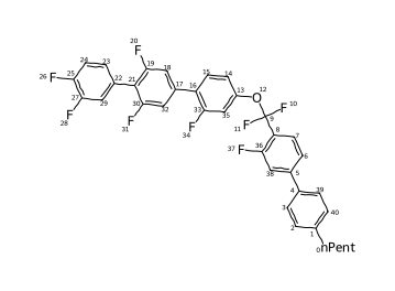 CCCCCc1ccc(-c2ccc(C(F)(F)Oc3ccc(-c4cc(F)c(-c5ccc(F)c(F)c5)c(F)c4)c(F)c3)c(F)c2)cc1